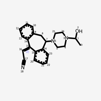 CC(O)N1CCN(C2Cc3ccccc3/C(=C/C#N)c3ccccc32)CC1